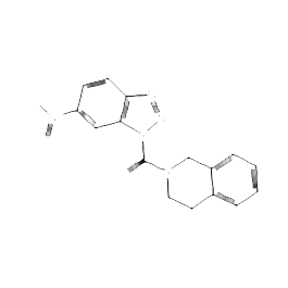 O=C(N1CCc2ccccc2C1)n1nnc2ccc([N+](=O)[O-])cc21